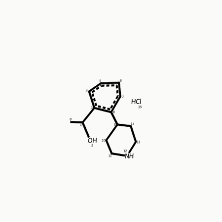 CC(O)c1ccccc1C1CCNCC1.Cl